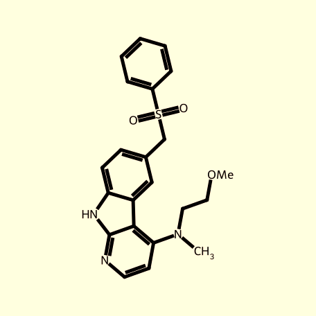 COCCN(C)c1ccnc2[nH]c3ccc(CS(=O)(=O)c4ccccc4)cc3c12